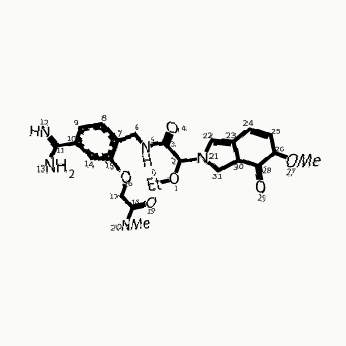 CCOC(C(=O)NCc1ccc(C(=N)N)cc1OCC(=O)NC)N1C=C2C=CC(OC)C(=O)C2C1